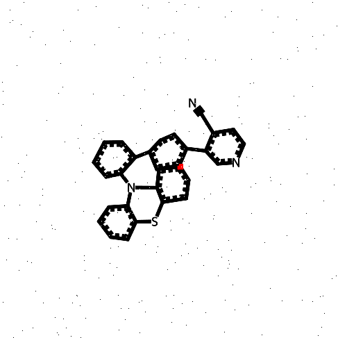 N#Cc1ccncc1-c1ccc(-c2ccccc2N2c3ccccc3Sc3ccccc32)cc1